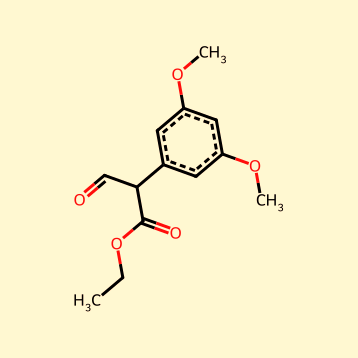 CCOC(=O)C(C=O)c1cc(OC)cc(OC)c1